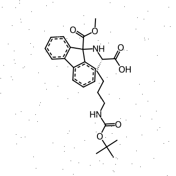 COC(=O)C1(N[C@@H](CCCCNC(=O)OC(C)(C)C)C(=O)O)c2ccccc2-c2ccccc21